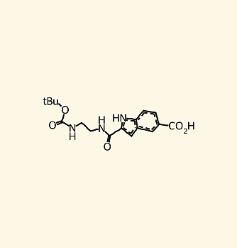 CC(C)(C)OC(=O)NCCNC(=O)c1cc2cc(C(=O)O)ccc2[nH]1